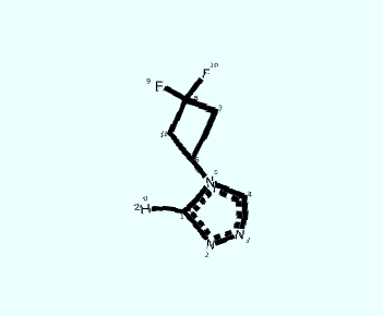 [2H]c1nncn1C1CC(F)(F)C1